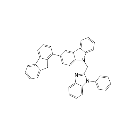 c1ccc(-n2c(Cn3c4ccccc4c4cc(-c5cccc6c5Cc5ccccc5-6)ccc43)nc3ccccc32)cc1